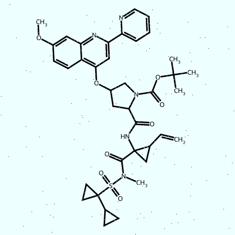 C=CC1CC1(NC(=O)C1CC(Oc2cc(-c3ccccn3)nc3cc(OC)ccc23)CN1C(=O)OC(C)(C)C)C(=O)N(C)S(=O)(=O)C1(C2CC2)CC1